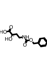 O=C(NCC[C@@H](O)C(=O)O)OCc1ccccc1